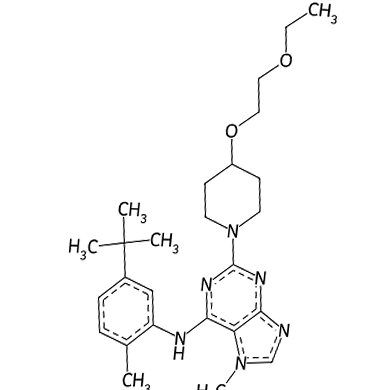 CCOCCOC1CCN(c2nc(Nc3cc(C(C)(C)C)ccc3C)c3c(ncn3C)n2)CC1